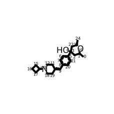 CC1CC(O)(c2ccc(C=C3CCN(C4CCC4)CC3)cc2)CC(C)O1